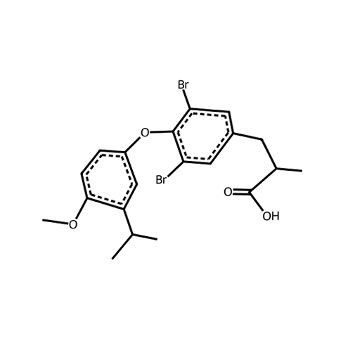 COc1ccc(Oc2c(Br)cc(CC(C)C(=O)O)cc2Br)cc1C(C)C